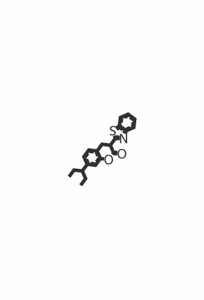 CCC(CC)c1ccc2c(c1)OC(=O)C(c1nc3ccccc3s1)C2